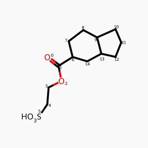 O=C(OCCS(=O)(=O)O)C1CCC2CCCC2C1